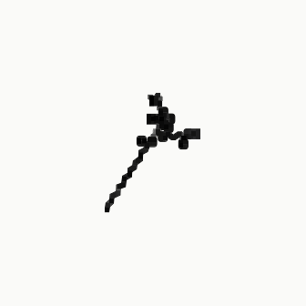 CCCCCCCCCCCCCCCC(=O)OC[C@H](COP(=O)(O)OCC[N+](C)(C)C)OC(=O)CCC(=O)O